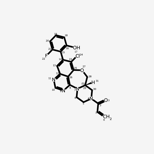 C=CC(=O)N1CCN2c3ncnc4cc(-c5c(O)cccc5F)c(Cl)c(c34)OC[C@@H]2C1